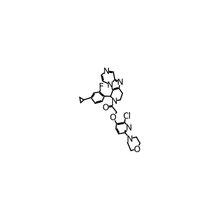 O=C(COc1ccc(N2CCOCC2)nc1Cl)N1CCc2nc3cnccn3c2C1c1ccc(C2CC2)cc1F